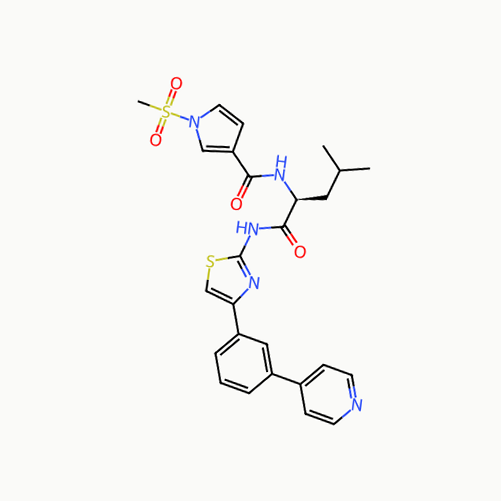 CC(C)C[C@H](NC(=O)c1ccn(S(C)(=O)=O)c1)C(=O)Nc1nc(-c2cccc(-c3ccncc3)c2)cs1